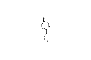 CC(C)(C)CCC1=CCNC=C1